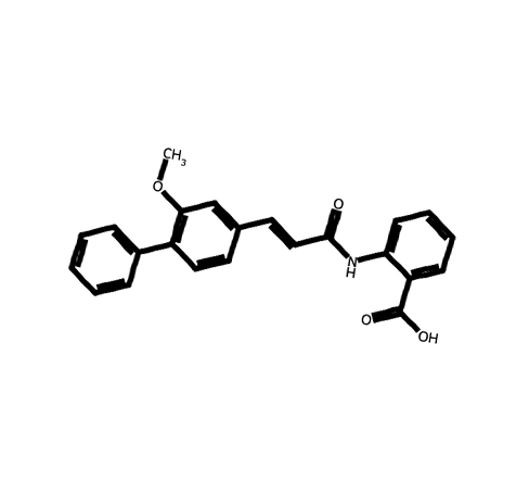 COc1cc(/C=C/C(=O)Nc2ccccc2C(=O)O)ccc1-c1ccccc1